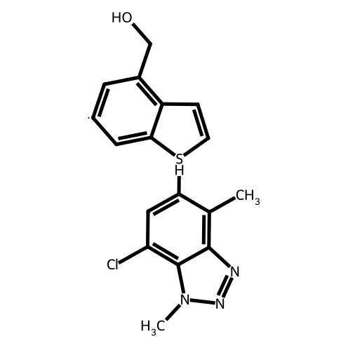 Cc1c([SH]2C=Cc3c(CO)c[c]cc32)cc(Cl)c2c1nnn2C